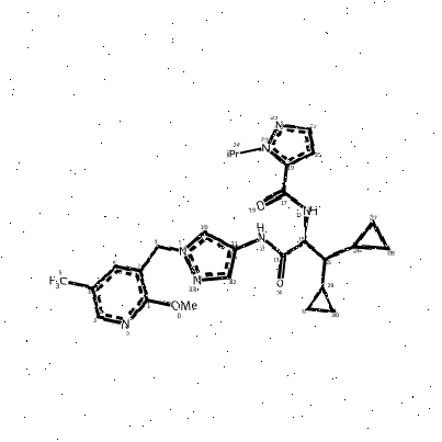 COc1ncc(C(F)(F)F)cc1Cn1cc(NC(=O)[C@@H](NC(=O)c2ccnn2C(C)C)C(C2CC2)C2CC2)cn1